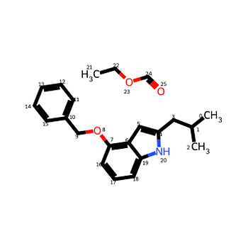 CC(C)Cc1cc2c(OCc3ccccc3)cccc2[nH]1.CCOC=O